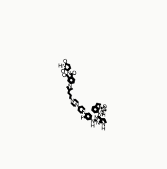 CS(=O)(=O)N1CCc2cccc(Nc3nc(Nc4ccc(N5CCC(N6CCN(CCCC7CN(c8ccc9c(c8)C(=O)N(C8CCC(=O)NC8=O)C9=O)C7)CC6)CC5)c(F)c4)nc4[nH]ccc34)c21